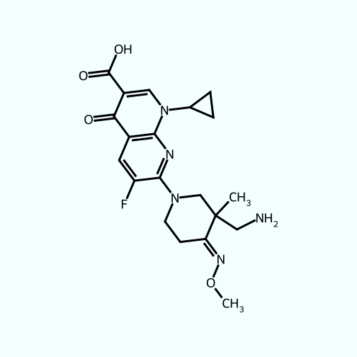 CON=C1CCN(c2nc3c(cc2F)c(=O)c(C(=O)O)cn3C2CC2)CC1(C)CN